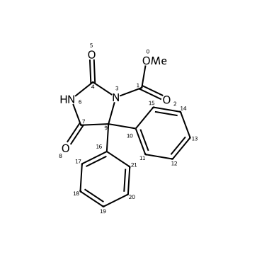 COC(=O)N1C(=O)NC(=O)C1(c1ccccc1)c1ccccc1